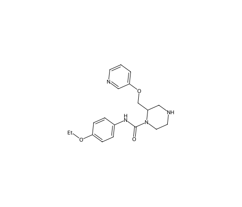 CCOc1ccc(NC(=O)N2CCNCC2COc2cccnc2)cc1